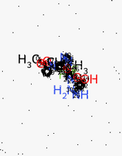 CCOC(=O)C1CCCCC1N(C)c1ccc(Oc2c(F)cnc(Oc3cc(C(=N)N)ccc3O)c2F)c(C2N=CCN2C)c1